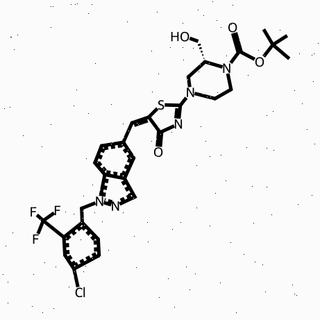 CC(C)(C)OC(=O)N1CCN(C2=NC(=O)C(=Cc3ccc4c(cnn4Cc4ccc(Cl)cc4C(F)(F)F)c3)S2)C[C@@H]1CO